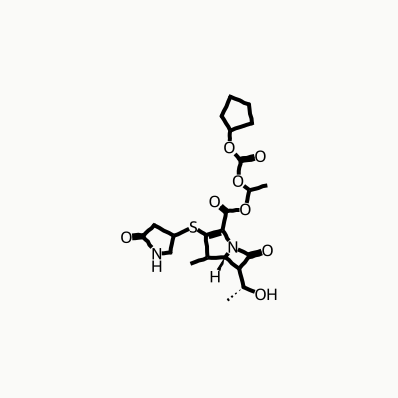 CC(OC(=O)OC1CCCC1)OC(=O)C1=C(SC2CNC(=O)C2)C(C)[C@H]2C([C@@H](C)O)C(=O)N12